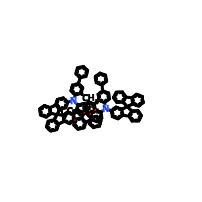 Cc1cc(-c2ccccc2)ccc1N(c1ccc2c(c1)C1(c3ccccc3-c3ccc(CC4(C)c5ccccc5-c5ccc(N(c6ccc7c(c6)C6(c8ccccc8-c8ccccc86)c6ccccc6-7)c6ccc(-c7ccccc7)cc6-c6ccccc6)cc54)cc31)c1ccccc1-2)c1ccc(-c2ccccc2)cc1C